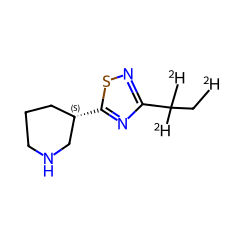 [2H]CC([2H])([2H])c1nsc([C@H]2CCCNC2)n1